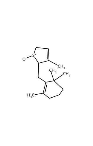 CC1=CC[S+]([O-])C1CC1=C(C)CCCC1(C)C